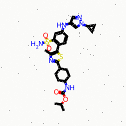 Cc1nc(C2CCC(NC(=O)OC(C)C)CC2)sc1-c1ccc(Nc2cnn(C3CC3)c2)cc1S(N)(=O)=O